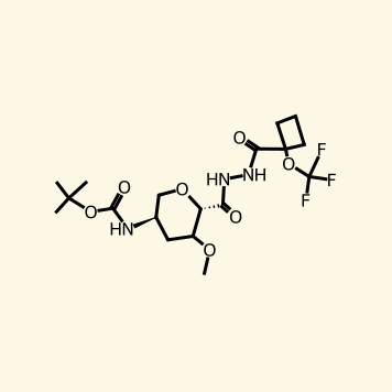 COC1C[C@@H](NC(=O)OC(C)(C)C)CO[C@@H]1C(=O)NNC(=O)C1(OC(F)(F)F)CCC1